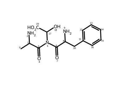 CC(N)C(=O)N(C(=O)C(N)Cc1ccccc1)C(O)C(=O)O